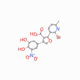 Cc1ccc(-c2occ(-c3cc(O)c(O)c([N+](=O)[O-])c3)c2C(=O)O)c(Br)n1